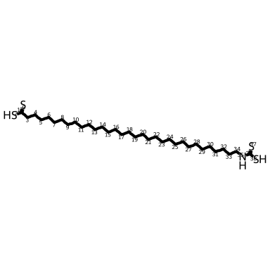 S=C(S)CCCCCCCCCCCCCCCCCCCCCCCCCCCCCCCCNC(=S)S